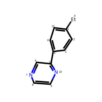 [CH2]Cc1ccc(-c2cnccn2)cc1